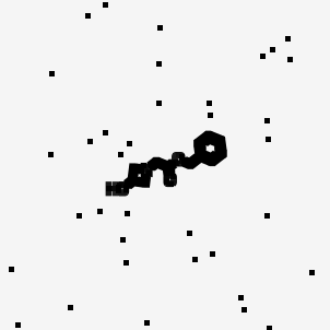 O=C(CN1CC(O)C1)OCc1ccccc1